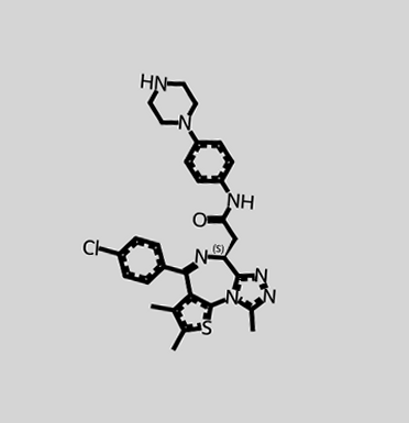 Cc1sc2c(c1C)C(c1ccc(Cl)cc1)=N[C@@H](CC(=O)Nc1ccc(N3CCNCC3)cc1)c1nnc(C)n1-2